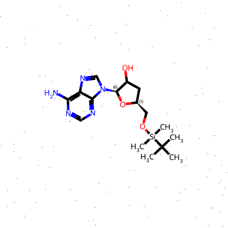 CC(C)(C)[Si](C)(C)OC[C@@H]1CC(O)[C@H](n2cnc3c(N)ncnc32)O1